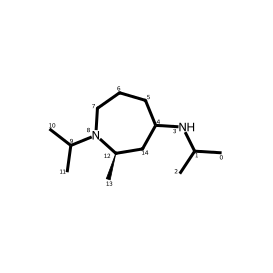 CC(C)NC1CCCN(C(C)C)[C@H](C)C1